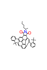 CCCCC(C)n1c(=O)c2c3cc(-c4ccccc4C(C)(C)C)c4ccc5ccc6c(-c7ccccc7C(C)(C)C)cc(c2c1=O)c1c6c5c4c31